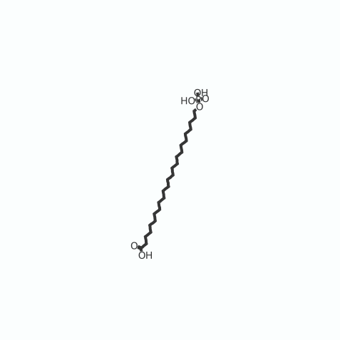 O=C(O)CCCCCCCCCCCCCCCCCCCCCCCCOP(=O)(O)O